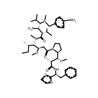 CC[C@H](C)[C@@H]([C@@H](CC(=O)N1CCC[C@H]1[C@H](OC)[C@@H](C)C(=O)N[C@@H](Cc1ccccc1)c1nccs1)OC)N(C)C(=O)[C@@H](C(C)C)C(N)[C@H](C(C)C)N(C)Cc1ccc(N)cc1